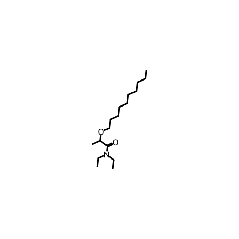 CCCCCCCCCCOC(C)C(=O)N(CC)CC